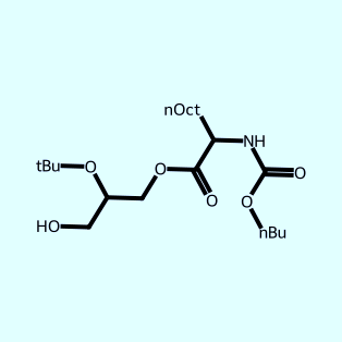 CCCCCCCCC(NC(=O)OCCCC)C(=O)OCC(CO)OC(C)(C)C